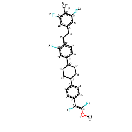 CCO/C(F)=C(\F)c1ccc(C2CCC(c3ccc(CCc4cc(F)c(C(F)(F)F)c(F)c4)c(F)c3)CC2)cc1